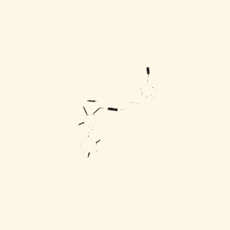 C#CC1CN(CCCC#Cc2cccc3c2CN(C2CCC(=O)NC2=O)C3=O)N=N1